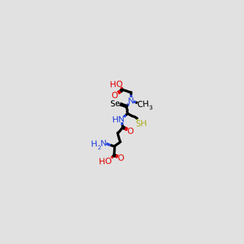 CN(CC(=O)O)C(=[Se])C(CS)NC(=O)CCC(N)C(=O)O